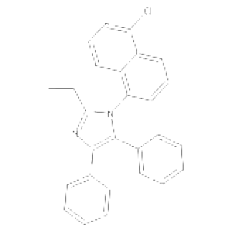 CCc1nc(-c2ccccc2)c(-c2ccccc2)n1-c1cccc2c(Cl)cccc12